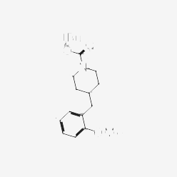 COc1ccccc1CC1CCN(C(=O)OC(C)(C)C)CC1